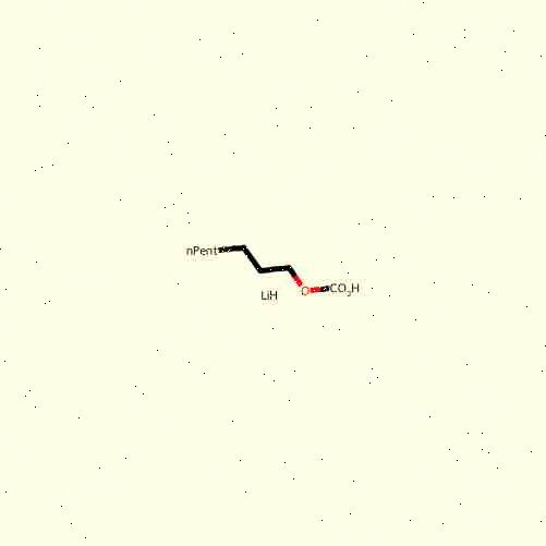 CCCCCCCCOC(=O)O.[LiH]